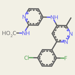 Cc1nnc(-c2cc(Cl)ccc2F)cc1Nc1ccnc(NC(=O)O)c1